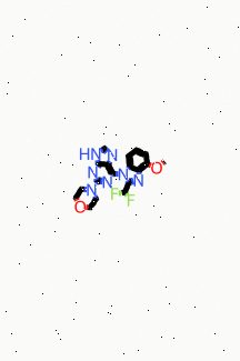 COc1cccc2c1nc(C(F)F)n2-c1nc(N2CCOCC2)nc2[nH]cnc12